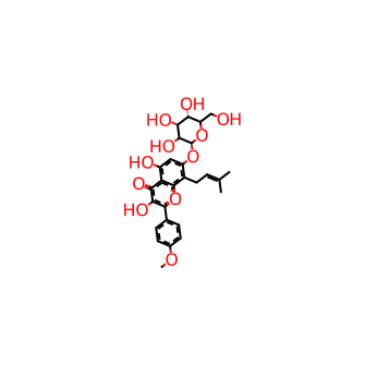 COc1ccc(-c2oc3c(CC=C(C)C)c(O[C@@H]4OC(CO)[C@@H](O)[C@H](O)C4O)cc(O)c3c(=O)c2O)cc1